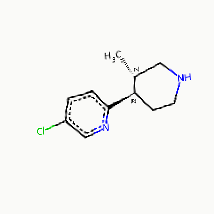 C[C@@H]1CNCC[C@H]1c1ccc(Cl)cn1